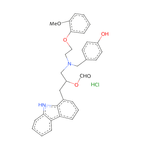 COc1ccccc1OCCN(Cc1ccc(O)cc1)CC(Cc1cccc2c1[nH]c1ccccc12)OC=O.Cl